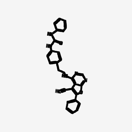 C#Cc1c(-c2ccccc2)oc2ncnc(NCCc3ccc(NC(=O)Nc4ccccc4)cc3)c12